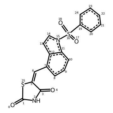 O=C1NC(=O)C(=Cc2cccc3c2ccn3S(=O)(=O)c2ccccc2)S1